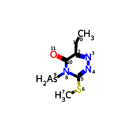 CCc1nnc(SC)n([AsH2])c1=O